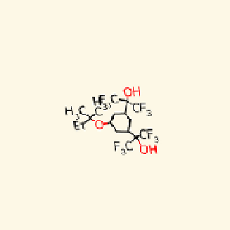 CCC(C)(C)OC1CC(C(O)(C(F)(F)F)C(F)(F)F)CC(C(O)(C(F)(F)F)C(F)(F)F)C1